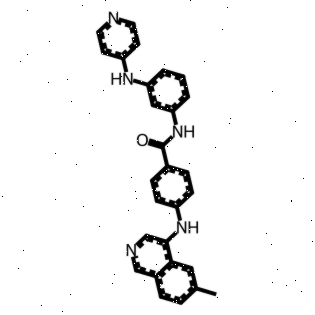 Cc1ccc2cncc(Nc3ccc(C(=O)Nc4cccc(Nc5ccncc5)c4)cc3)c2c1